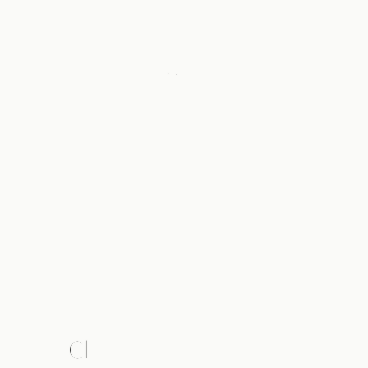 C=C(Cc1ccc(Cl)cc1)C1=C(C)CCC=C1